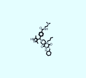 CCCCN1C(=O)[C@H](CC2CCCCC2)NC(=O)C12CCN(C(c1ccc(C(=O)NCCN(C)C)cc1)c1c(C)n[nH]c1C)CC2